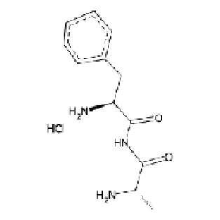 C[C@H](N)C(=O)NC(=O)[C@@H](N)Cc1ccccc1.Cl